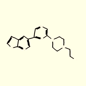 OCCN1CCN(c2cncc(-c3cnc4[nH]ccc4c3)n2)CC1